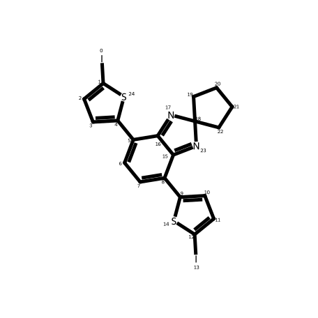 Ic1ccc(-c2ccc(-c3ccc(I)s3)c3c2=NC2(CCCC2)N=3)s1